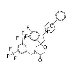 O=C1COC(CC[N+]23CCC(c4ccccc4)(CC2)CC3)(c2ccc(F)c(F)c2)CN1Cc1cc(C(F)(F)F)cc(C(F)(F)F)c1